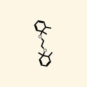 CC1C=CC=CC1(C)OCCOC1(C)C=CC=CC1C